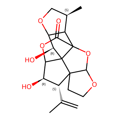 C=C(C)[C@@H]1[C@@H](O)C2OC(=O)C34OC5OCCC51C23[C@@H](O)C1OC[C@@H](C)C14